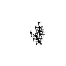 CC(F)(F)C(F)(OC(F)(F)C(F)(F)C(F)(F)F)C(=O)OF